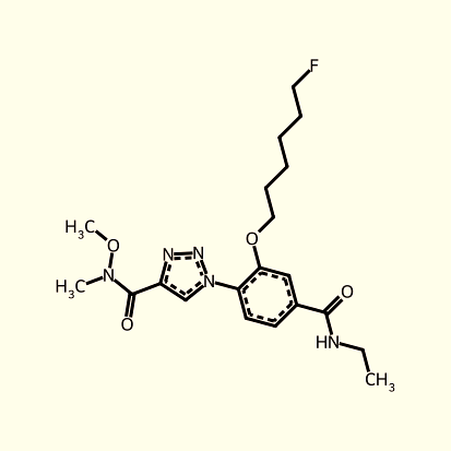 CCNC(=O)c1ccc(-n2cc(C(=O)N(C)OC)nn2)c(OCCCCCCF)c1